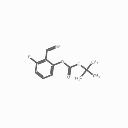 CC(C)(C)OC(=O)Oc1cccc(F)c1C=N